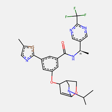 Cc1cnc(-c2cc(OC3C=C4OCC3CN4C(C)C)cc(C(=O)N[C@H](C)c3cnc(C(F)(F)F)nc3)c2)s1